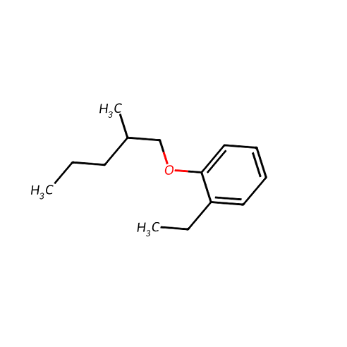 CCCC(C)COc1ccccc1CC